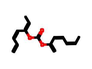 C=C/C=C\C(=C/C)OC(=O)OC(=C)/C=C\C=C/C